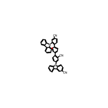 N#Cc1ccc(-c2ccc(-c3ccc(-n4c5ccccc5c5cc(C#N)ccc54)cc3C#N)cc2)c(-n2c3ccccc3c3ccccc32)c1